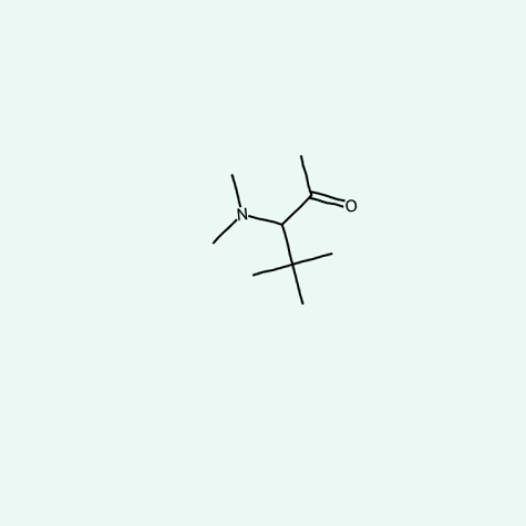 CC(=O)C(N(C)C)C(C)(C)C